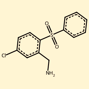 NCc1cc(Cl)ccc1S(=O)(=O)c1ccccc1